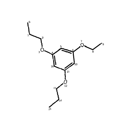 CCCOc1cc(OCC)cc(OCCC)c1